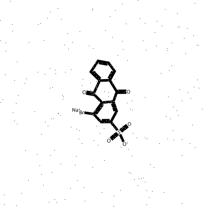 O=C1c2ccccc2C(=O)c2c(Br)cc(S(=O)(=O)[O-])cc21.[Na+]